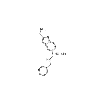 Cl.Cl.NCc1cn2cc(CNCc3ccccc3)ccc2n1